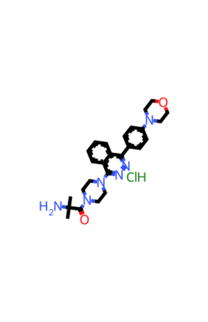 CC(C)(N)C(=O)N1CCN(c2nnc(-c3ccc(N4CCOCC4)cc3)c3ccccc23)CC1.Cl